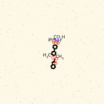 Cc1cc(-c2ccc(S(=O)(=O)NC(C(=O)O)C(C)C)cc2)cc(C)c1OC(=O)c1cc2ccccc2o1